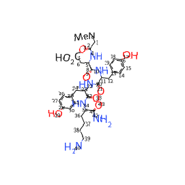 CNCC(=O)NC(CC(=O)O)C(=O)NC(Cc1ccc(O)cc1)C(=O)NC(Cc1ccc(O)cc1)C(=O)NC(CCCCN)C(N)=O